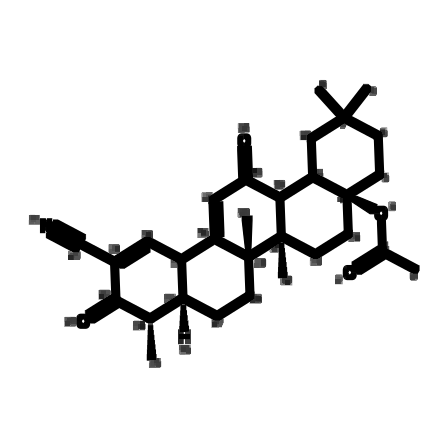 CC(=O)O[C@]12CCC(C)(C)CC1C1C(=O)C=C3C4C=C(C#N)C(=O)[C@@H](C)[C@@H]4CC[C@@]3(C)[C@]1(C)CC2